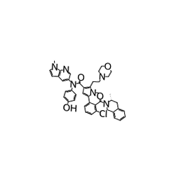 C[C@@H]1Cc2ccccc2CN1C(=O)c1c(Cl)cccc1-c1cc(C(=O)N(c2ccc(O)cc2)c2cnc3c(ccn3C)c2)c(CCN2CCOCC2)n1C